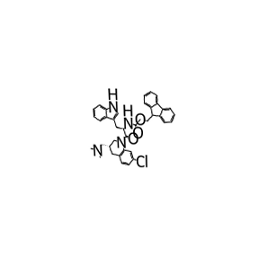 CN(C)C[C@H]1Cc2ccc(Cl)cc2N(C(=O)[C@@H](Cc2c[nH]c3ccccc23)NC(=O)OCC2c3ccccc3-c3ccccc32)C1